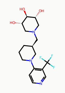 O[C@H]1[C@H](O)CN(C[C@@H]2CCCN(c3ccncc3C(F)(F)F)C2)C[C@@H]1O